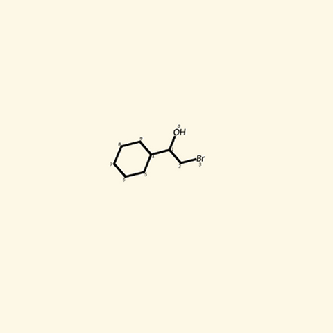 OC(CBr)C1CCCCC1